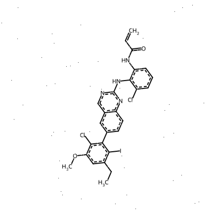 C=CC(=O)Nc1cccc(Cl)c1Nc1ncc2cc(-c3c(Cl)c(OC)cc(CC)c3I)ccc2n1